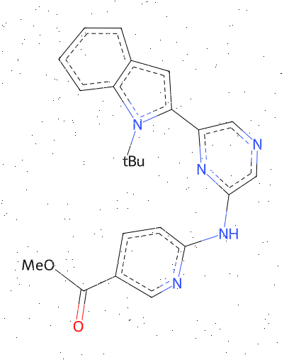 COC(=O)c1ccc(Nc2cncc(-c3cc4ccccc4n3C(C)(C)C)n2)nc1